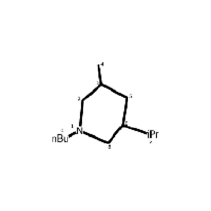 CCCCN1CC(C)CC(C(C)C)C1